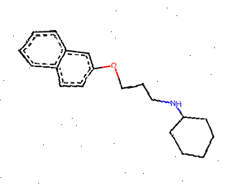 c1ccc2cc(OCCCNC3CCCCC3)ccc2c1